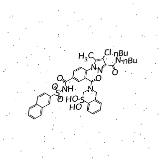 CCCCN(CCCC)C(=O)c1nn(-c2ccc(C(=O)NS(=O)(=O)c3ccc4ccccc4c3)cc2C(=O)N2Cc3ccccc3S(O)(O)C2)c(C)c1Cl